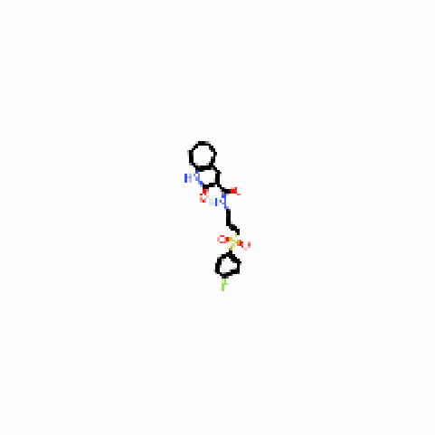 O=C(NC/C=C/S(=O)(=O)c1ccc(F)cc1)c1cc2c([nH]c1=O)CCCCC2